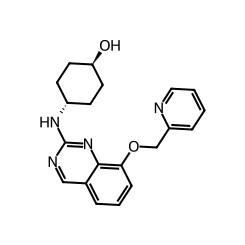 O[C@H]1CC[C@H](Nc2ncc3cccc(OCc4ccccn4)c3n2)CC1